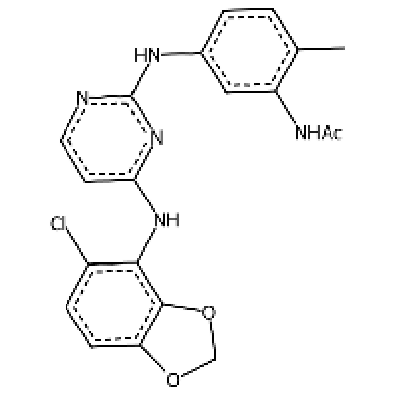 CC(=O)Nc1cc(Nc2nccc(Nc3c(Cl)ccc4c3OCO4)n2)ccc1C